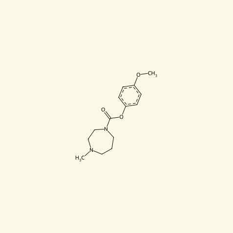 COc1ccc(OC(=O)N2CCCN(C)CC2)cc1